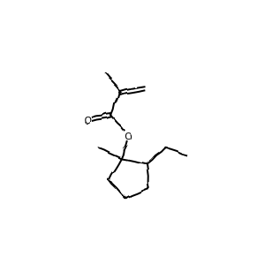 C=C(C)C(=O)OC1(C)CCCC1CC